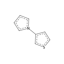 c1ccn(-c2ccsc2)c1